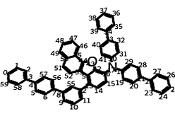 c1ccc(-c2ccc(-c3cccc(-c4ccc(N(c5ccc(-c6ccccc6)cc5)c5ccc(-c6ccccc6)cc5)c5oc6c7ccccc7ccc6c45)c3)cc2)cc1